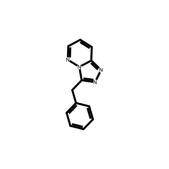 c1ccc(Cc2nnc3cccnn23)cc1